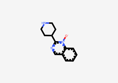 [O-][n+]1c(C2CCNCC2)ncc2ccccc21